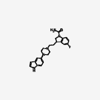 NC(=O)N1CC(CCN2CCN(c3ccc4[nH]ccc4c3)CC2)c2cc(F)ccc21